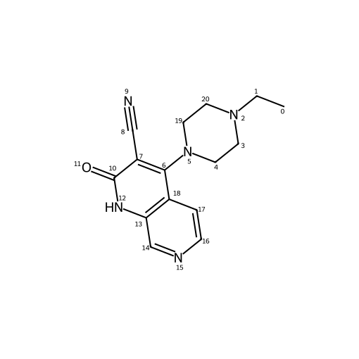 CCN1CCN(c2c(C#N)c(=O)[nH]c3cnccc23)CC1